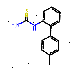 Cc1ccc(-c2ccccc2NC(N)=S)cc1